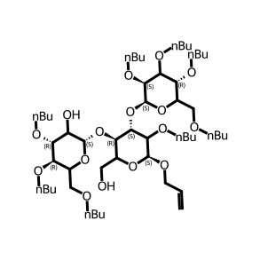 C=CCO[C@H]1OC(CO)[C@@H](O[C@@H]2OC(COCCCC)[C@@H](OCCCC)[C@H](OCCCC)C2O)[C@H](O[C@@H]2OC(COCCCC)[C@@H](OCCCC)C(OCCCC)[C@@H]2OCCCC)C1OCCCC